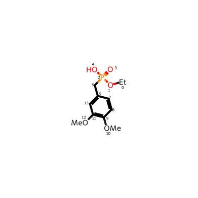 CCOP(=O)(O)Cc1ccc(OC)c(OC)c1